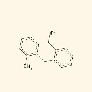 Cc1ccccc1Cc1ccccc1CC(C)C